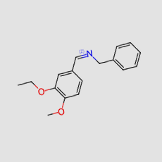 CCOc1cc(/C=N\Cc2ccccc2)ccc1OC